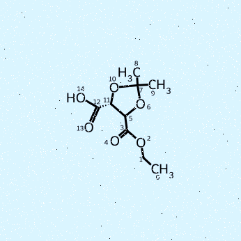 CCOC(=O)C1OC(C)(C)O[C@H]1C(=O)O